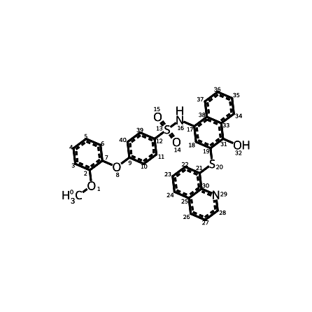 COc1ccccc1Oc1ccc(S(=O)(=O)Nc2cc(Sc3cccc4cccnc34)c(O)c3ccccc23)cc1